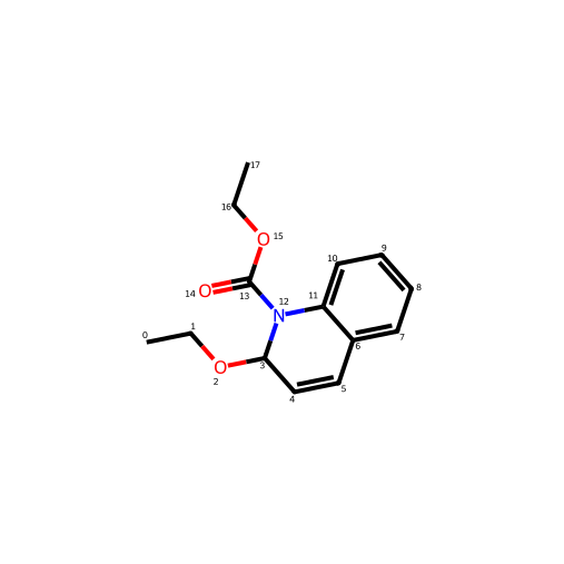 CCO[C]1C=Cc2ccccc2N1C(=O)OCC